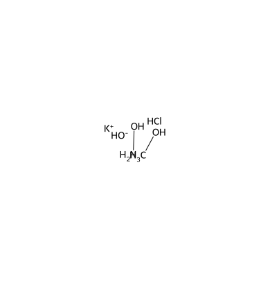 CO.Cl.NO.[K+].[OH-]